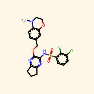 CN1CCOc2cc(COc3nc4c(nc3NS(=O)(=O)c3cccc(Cl)c3Cl)CCC4)ccc21